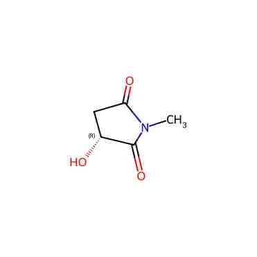 CN1C(=O)C[C@@H](O)C1=O